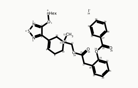 CCCCCCOc1nsnc1C1=CCC[N+](C)(COC(=O)Cc2ccccc2OC(=O)c2ccccc2)C1.[I-]